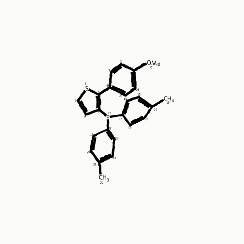 COc1ccc(-c2sccc2P(c2ccc(C)cc2)c2ccc(C)cc2)cc1